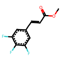 COC(=O)C=Cc1cc(F)c(F)c(F)c1